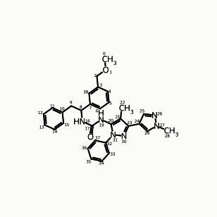 COCc1cccc(C(Cc2ccccc2)NC(=O)Nc2c(C)c(-c3cnn(C)c3)nn2-c2ccccc2)c1